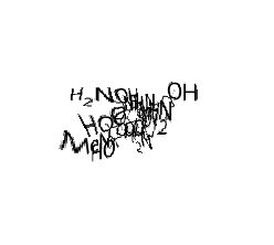 CN[C@@H]1[C@@H](O)[C@@H](O[C@@H]2[C@@H](O)[C@H](O[C@H]3OC(C(N)[C@H]4C[C@H](O)CN4C)=CC[C@H]3N)[C@@H](N)C[C@]2(N)C(=O)[C@@H](O)CN)OC[C@]1(C)O